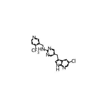 FC(F)(F)c1ccncc1CNc1ncc(Cc2c[nH]c3ncc(Cl)cc23)cn1